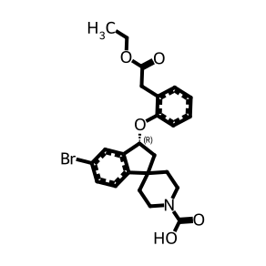 CCOC(=O)Cc1ccccc1O[C@@H]1CC2(CCN(C(=O)O)CC2)c2ccc(Br)cc21